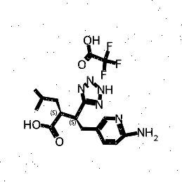 CC(C)C[C@H](C(=O)O)[C@H](Cc1ccc(N)nc1)c1nn[nH]n1.O=C(O)C(F)(F)F